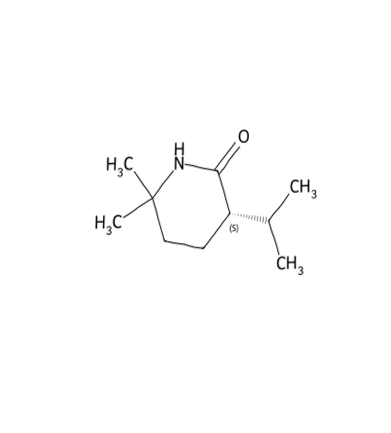 CC(C)[C@@H]1CCC(C)(C)NC1=O